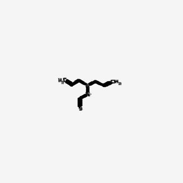 C=CCN(CC=C)[N]C=S